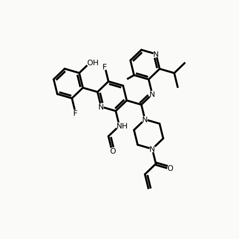 C=CC(=O)N1CCN(/C(=N/c2c(C)ccnc2C(C)C)c2cc(F)c(-c3c(O)cccc3F)nc2NC=O)CC1